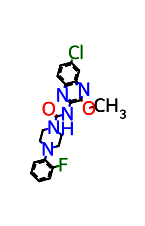 COc1nc2cc(Cl)ccc2nc1NC(=O)N1CCN(c2ccccc2F)CC1